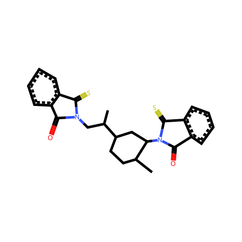 CC(CN1C(=O)c2ccccc2C1=S)C1CCC(C)C(N2C(=O)c3ccccc3C2=S)C1